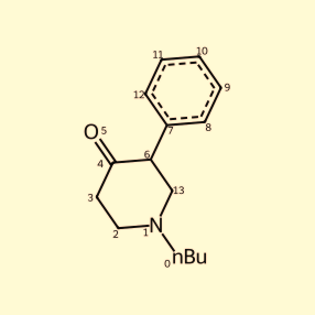 CCCCN1CCC(=O)C(c2ccccc2)C1